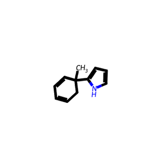 CC1(c2ccc[nH]2)C=CC=CC1